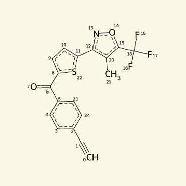 C#Cc1ccc(C(=O)c2ccc(-c3noc(C(F)(F)F)c3C)s2)cc1